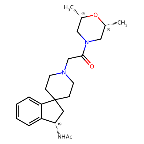 CC(=O)N[C@H]1CC2(CCN(CC(=O)N3C[C@@H](C)O[C@@H](C)C3)CC2)c2ccccc21